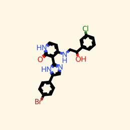 O=c1[nH]ccc(NCC(O)c2cccc(Cl)c2)c1-c1ncc(-c2ccc(Br)cc2)[nH]1